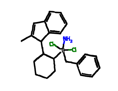 CC1=Cc2ccccc2C1C1CCCC[CH]1[Ti]([NH2])([Cl])([Cl])[CH2]c1ccccc1